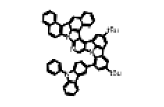 CC(C)(C)c1cc(-c2ccc3c(c2)c2ccccc2n3-c2ccccc2)c2c(c1)c1cc(C(C)(C)C)cc3c4c5c6c7ccccc7cc7c8c9ccccc9ccc8n(c5ncc4n2c13)c76